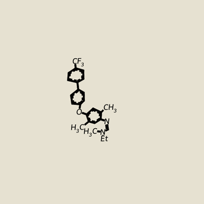 CCN(C)/C=N\c1cc(C)c(Oc2ccc(-c3ccc(C(F)(F)F)cc3)cc2)cc1C